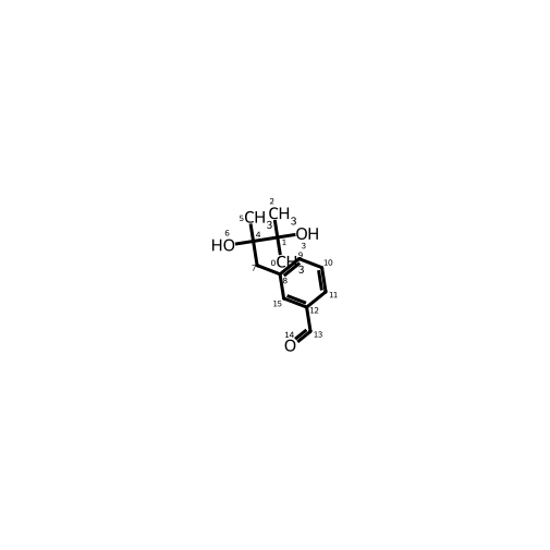 CC(C)(O)C(C)(O)Cc1cccc(C=O)c1